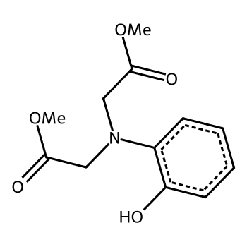 COC(=O)CN(CC(=O)OC)c1ccccc1O